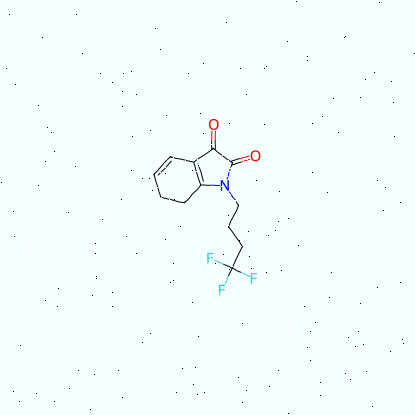 O=C1C(=O)N(CCCC(F)(F)F)C2=C1C=CCC2